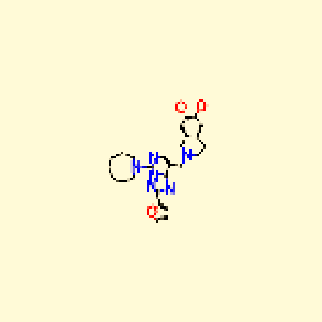 COc1cc2c(cc1OC)CN(Cc1cnc(N3CCCCCCC3)n3nc(-c4ccco4)nc13)CC2